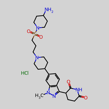 Cl.Cn1nc(C2CCC(=O)NC2=O)c2ccc(C3CCN(CCCS(=O)(=O)N4CCC(N)CC4)CC3)cc21